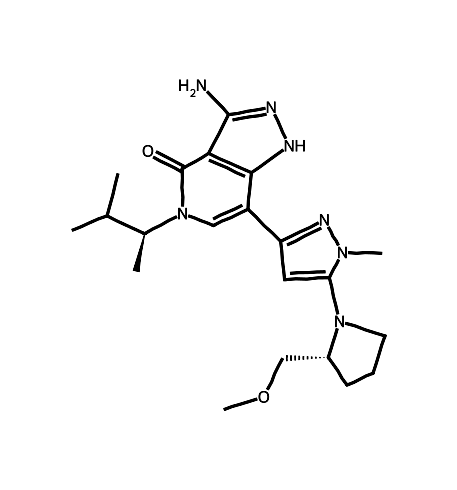 COC[C@H]1CCCN1c1cc(-c2cn([C@@H](C)C(C)C)c(=O)c3c(N)n[nH]c23)nn1C